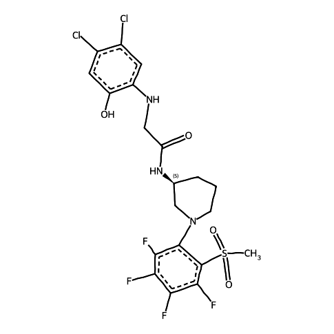 CS(=O)(=O)c1c(F)c(F)c(F)c(F)c1N1CCC[C@H](NC(=O)CNc2cc(Cl)c(Cl)cc2O)C1